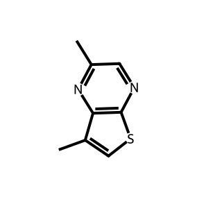 Cc1cnc2scc(C)c2n1